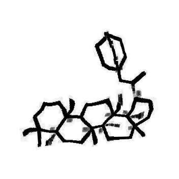 C=C(C[N+]12CCN(CC1)CC2)[C@@H]1CC[C@]2(C)CC[C@]3(C)[C@H](CCC4[C@@]5(C)CCCC(C)(C)[C@@H]5CC[C@]43C)[C@@H]12